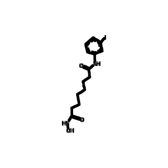 O=C(CCCCCCC(=O)Nc1cccc(I)c1)NO